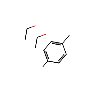 CC[O-].CC[O-].Cc1cc[c]([Al+2])cc1